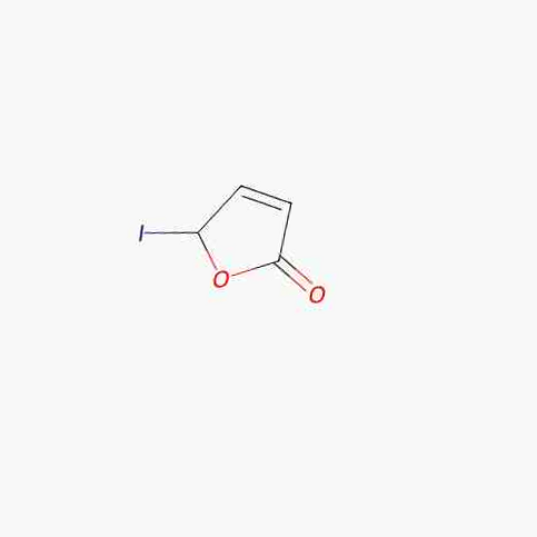 O=C1C=CC(I)O1